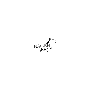 BB.[BH4-].[Na+]